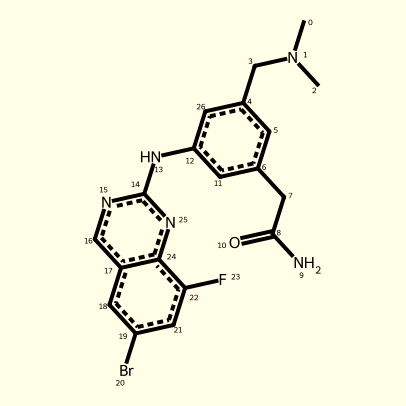 CN(C)Cc1cc(CC(N)=O)cc(Nc2ncc3cc(Br)cc(F)c3n2)c1